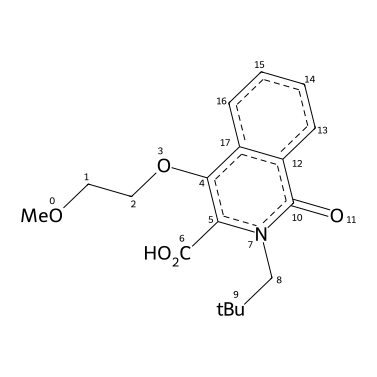 COCCOc1c(C(=O)O)n(CC(C)(C)C)c(=O)c2ccccc12